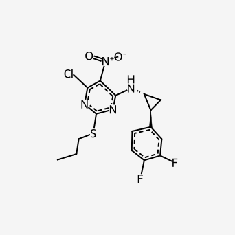 CCCSc1nc(Cl)c([N+](=O)[O-])c(N[C@@H]2C[C@H]2c2ccc(F)c(F)c2)n1